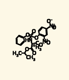 CC(C)OC(=O)[C@H](C)NP(=O)(Oc1ccccc1)Oc1ccc([N+](=O)[O-])cc1[N+](=O)[O-]